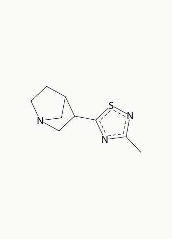 Cc1nsc(C2CN3CCC2C3)n1